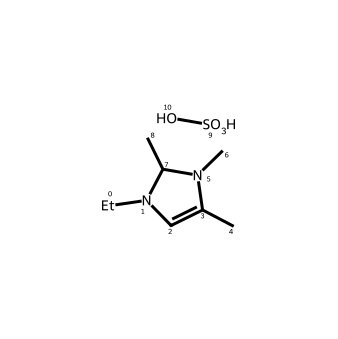 CCN1C=C(C)N(C)C1C.O=S(=O)(O)O